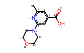 Cc1cc(C(=O)O)cc(N2CCOCC2)n1